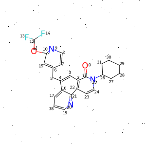 O=c1c2cc(Cc3ccnc(OC(F)F)c3)c3cccnc3c2ccn1C1CCCCC1